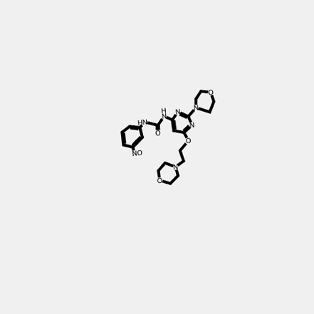 O=Nc1cccc(NC(=O)Nc2cc(OCCN3CCOCC3)nc(N3CCOCC3)n2)c1